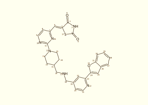 O=C1NC(=O)C(=Cc2ccnc(N3CCC(CNCc4ccnc(-c5cc6ccccc6o5)c4)CC3)n2)S1